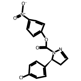 O=C(Oc1ccc([N+](=O)[O-])cc1)N1N=CC[C@H]1c1ccc(Cl)cc1